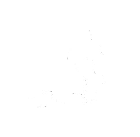 C[C@H](NC(=O)c1ccc2[nH]nc(/C=C/c3ccc(F)cc3)c2c1OCCO)C(N)=O